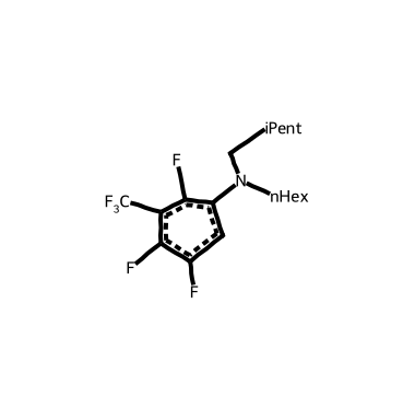 CCCCCCN(CC(C)CCC)c1cc(F)c(F)c(C(F)(F)F)c1F